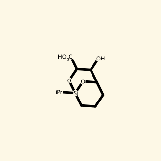 CC(C)[Si]12CCCC(O1)C(O)C(C(=O)O)O2